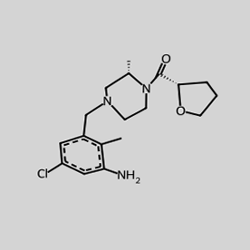 Cc1c(N)cc(Cl)cc1CN1CCN(C(=O)[C@@H]2CCCO2)[C@@H](C)C1